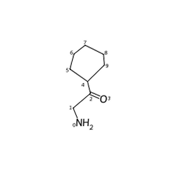 NCC(=O)C1CCCCC1